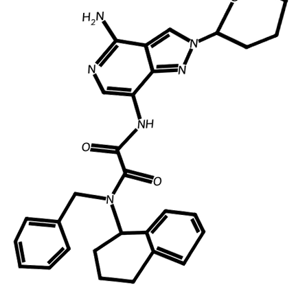 Nc1ncc(NC(=O)C(=O)N(Cc2ccccc2)C2CCCc3ccccc32)c2nn(C3CCCCO3)cc12